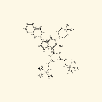 [C-]#[N+]c1c(C2CCS(=O)(=O)CC2)nc2c(-c3cnc4ccccc4c3)cnn2c1N(COCC[Si](C)(C)C)COCC[Si](C)(C)C